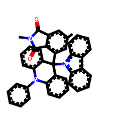 Cc1cc2c(c(C3(n4c5ccccc5c5ccccc54)c4ccccc4N(c4ccccc4)c4ccccc43)c1)C(=O)N(C)C2=O